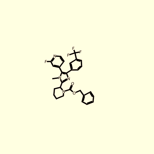 Cn1c(C2CCCCN2C(=O)OCc2ccccc2)nc(-c2cccc(C(F)(F)F)c2)c1-c1ccnc(F)c1